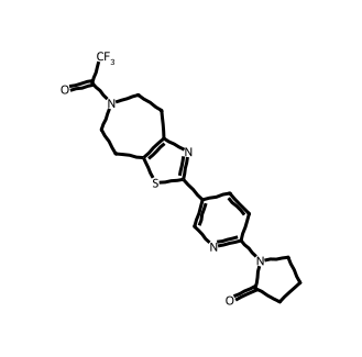 O=C1CCCN1c1ccc(-c2nc3c(s2)CCN(C(=O)C(F)(F)F)CC3)cn1